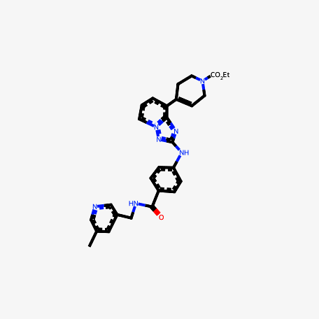 CCOC(=O)N1CC=C(c2cccn3nc(Nc4ccc(C(=O)NCc5cncc(C)c5)cc4)nc23)CC1